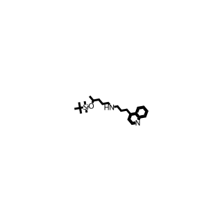 CC(CCCNCCCc1ccnc2ccccc12)O[Si](C)(C)C(C)(C)C